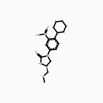 COC[C@@H]1CN(c2ccc(C3CCCCC3)c([N+](=O)[O-])c2)C(=O)O1